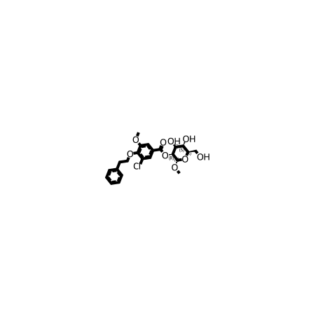 COc1cc(C(=O)O[C@H]2[C@@H](OC)O[C@H](CO)[C@@H](O)[C@@H]2O)cc(Cl)c1OCCc1ccccc1